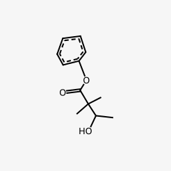 CC(O)C(C)(C)C(=O)Oc1ccccc1